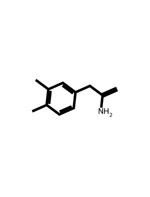 C=C(N)Cc1ccc(C)c(C)c1